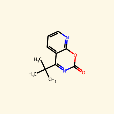 CC(C)(C)c1nc(=O)oc2ncccc12